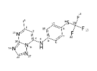 Cc1cc(Nc2ccc(SC(F)(F)F)cc2)n2ncnc2n1